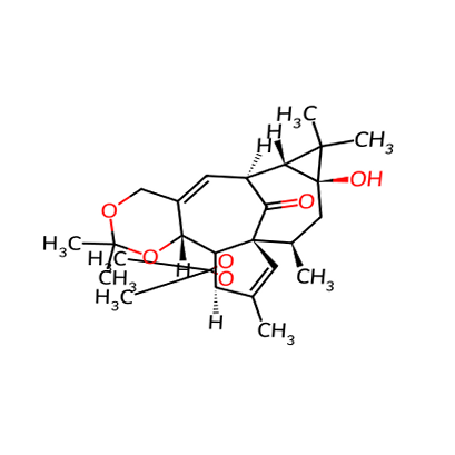 CC1=C[C@]23C(=O)[C@@H](C=C4COC(C)(C)O[C@H]4[C@@]24OC(C)(C)O[C@@H]14)[C@@H]1C(C)(C)[C@]1(O)C[C@H]3C